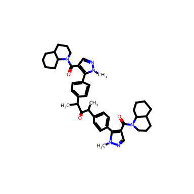 CC(C(=O)C(C)c1ccc(-c2c(C(=O)N3CCCC4CCCCC43)cnn2C)cc1)c1ccc(-c2c(C(=O)N3CCCC4CCCCC43)cnn2C)cc1